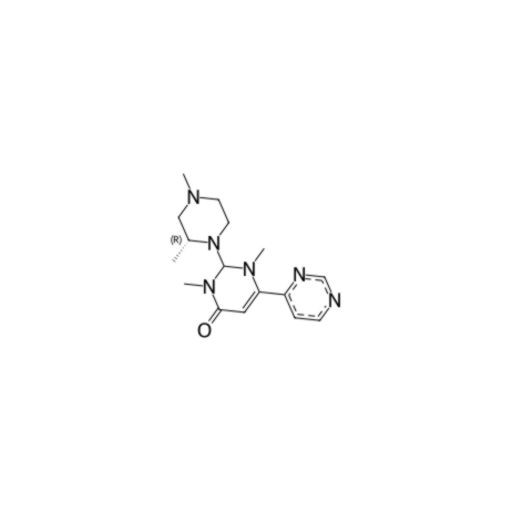 C[C@@H]1CN(C)CCN1C1N(C)C(=O)C=C(c2ccncn2)N1C